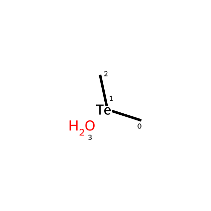 C[Te]C.O